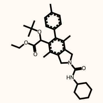 CCOC(=O)C(OC(C)(C)C)c1c(C)c2c(c(C)c1-c1ccc(C)cc1)CN(C(=O)NC1CCCCC1)C2